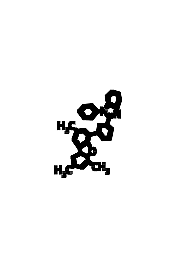 CC1=CC2c3cc(C)cc(-c4cccc(-c5nc6ccccc6n5-c5ccccc5)c4)c3OC2C(C)=C1